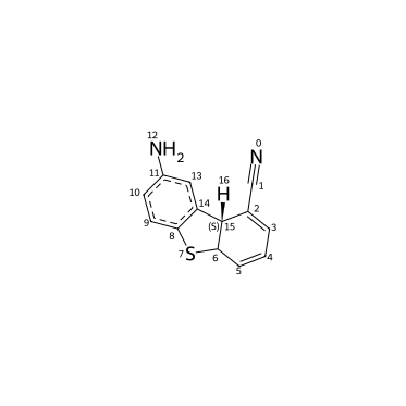 N#CC1=CC=CC2Sc3ccc(N)cc3[C@H]12